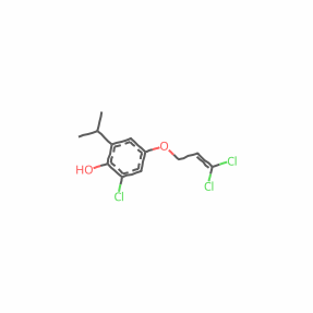 CC(C)c1cc(OCC=C(Cl)Cl)cc(Cl)c1O